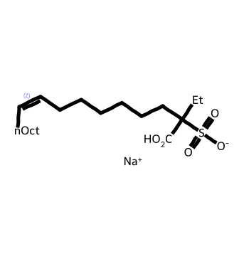 CCCCCCCC/C=C\CCCCCCC(CC)(C(=O)O)S(=O)(=O)[O-].[Na+]